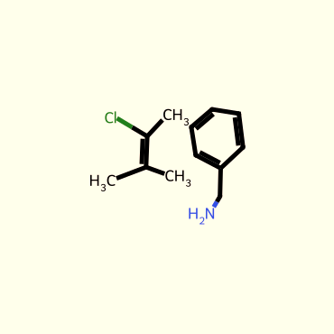 CC(C)=C(C)Cl.NCc1ccccc1